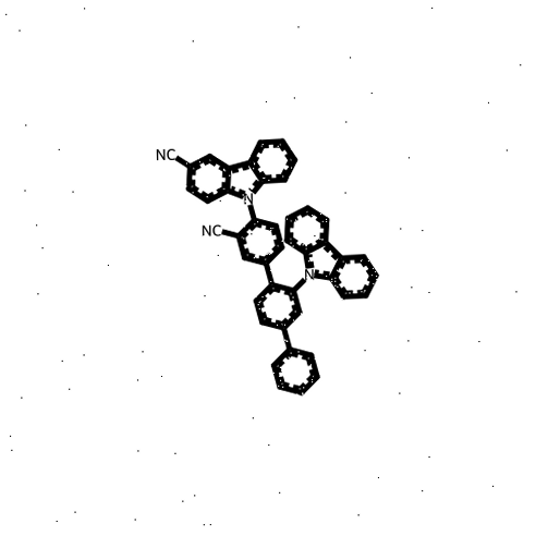 N#Cc1ccc2c(c1)c1ccccc1n2-c1ccc(-c2ccc(-c3ccccc3)cc2-n2c3ccccc3c3ccccc32)cc1C#N